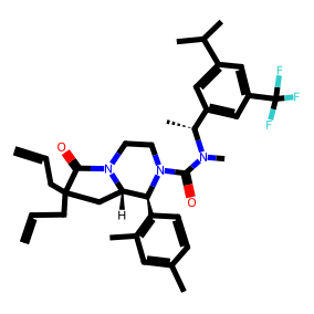 C=CCC1(CC=C)C[C@H]2[C@H](c3ccc(C)cc3C)N(C(=O)N(C)[C@H](C)c3cc(C(C)C)cc(C(F)(F)F)c3)CCN2C1=O